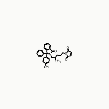 CC(CCCN1C(=O)C=CC1=O)CN1C(=O)c2ccccc2C1(c1ccccc1)c1ccc(O)cc1